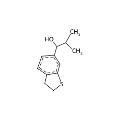 CC(C)C(O)c1ccc2c(c1)SCC2